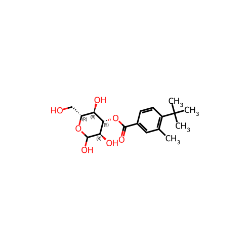 Cc1cc(C(=O)O[C@H]2[C@H](O)[C@@H](CO)OC(O)[C@@H]2O)ccc1C(C)(C)C